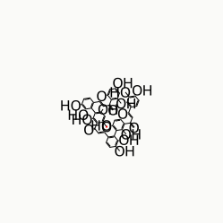 O=c1cc(-c2ccc(O)c(O)c2-c2c(O)cc3oc(-c4ccc(O)c(O)c4-c4c(O)cc5oc(-c6ccc(O)c(O)c6)cc(=O)c5c4O)cc(=O)c3c2O)oc2cc(O)cc(O)c12